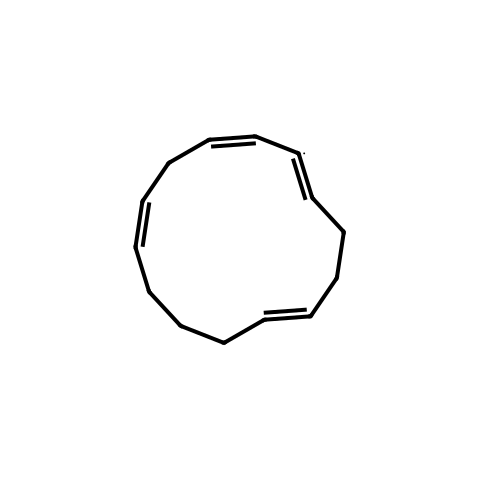 [C]1=C/CC/C=C/CCC/C=C\C\C=C/1